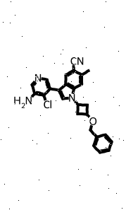 Cc1cc2c(cc1C#N)c(-c1cncc(N)c1Cl)cn2C1CC(OCc2ccccc2)C1